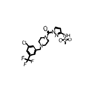 CS(=O)(=O)Nc1ccn(C(=O)N2CCN(Cc3cc(Cl)cc(C(F)(F)F)c3)CC2)n1